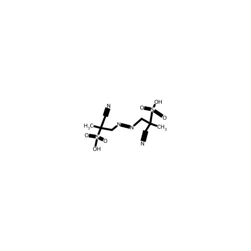 CC(C#N)(CN=NCC(C)(C#N)S(=O)(=O)O)S(=O)(=O)O